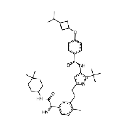 Cc1ccc(C(=N)C(=O)NC2CCC(C)(C)CC2)cc1CCc1cc(NC(=O)c2ccc(OC3CC(C(C)C)C3)cc2)n(C(C)(C)C)n1